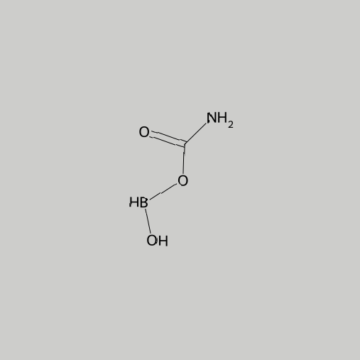 NC(=O)OBO